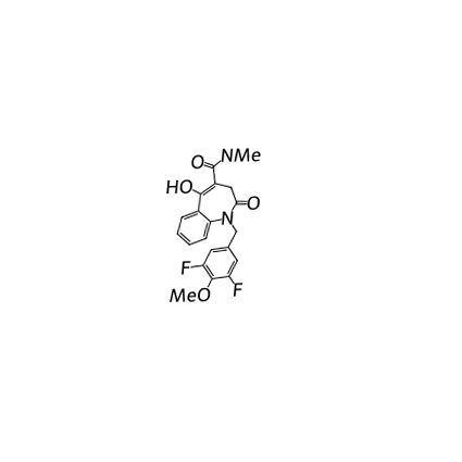 CNC(=O)C1=C(O)c2ccccc2N(Cc2cc(F)c(OC)c(F)c2)C(=O)C1